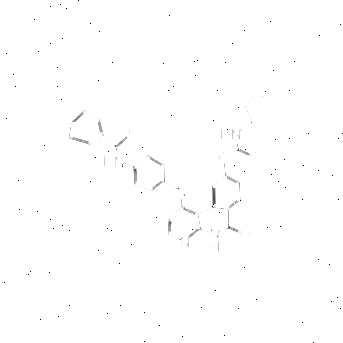 O=C(NCCO)Oc1ccc2c(=O)[nH]c3nccc(Nc4ccc(NC(=O)c5ccccc5)cc4)c3c2c1